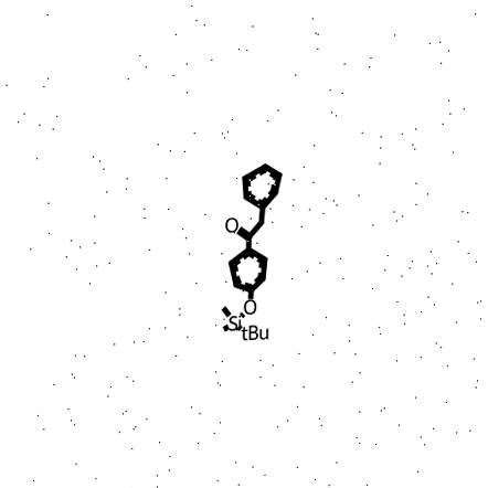 CC(C)(C)[Si](C)(C)Oc1ccc(C(=O)Cc2ccccc2)cc1